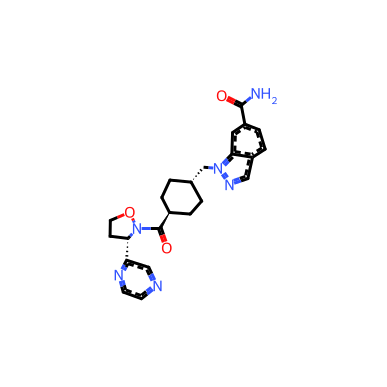 NC(=O)c1ccc2cnn(C[C@H]3CC[C@H](C(=O)N4OCC[C@H]4c4cnccn4)CC3)c2c1